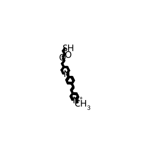 C[n+]1ccc(/C=C/c2ccc(N3CCC(CCOC(=O)CS)CC3)cc2)cc1